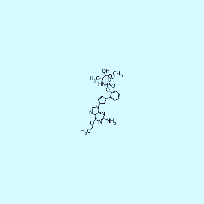 CCOc1nc(N)nc2c1ncn2[C@H]1C=C[C@@H](c2ccccc2OP(=O)(N[C@H](C)C(=O)O)OCC)C1